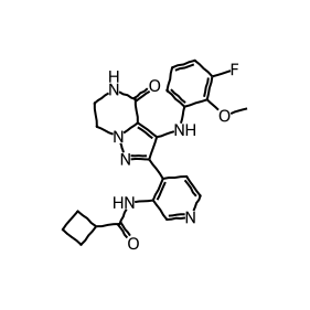 COc1c(F)cccc1Nc1c(-c2ccncc2NC(=O)C2CCC2)nn2c1C(=O)NCC2